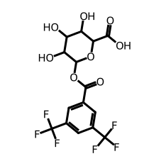 O=C(OC1OC(C(=O)O)C(O)C(O)C1O)c1cc(C(F)(F)F)cc(C(F)(F)F)c1